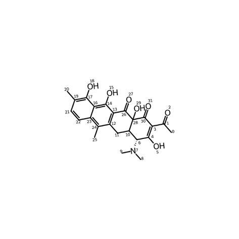 CC(=O)C1=C(O)[C@H](N(C)C)C2Cc3c(c(O)c4c(O)c(C)ccc4c3C)C(=O)C2(O)C1=O